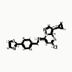 Clc1cc(NCc2ccc(-c3nccs3)cc2)n2ncc(C3CC3)c2n1